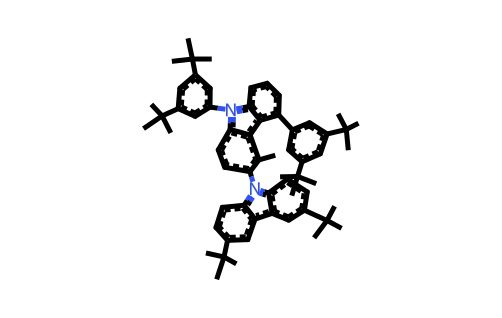 Cc1c(-n2c3ccc(C(C)(C)C)cc3c3cc(C(C)(C)C)ccc32)ccc2c1c1c(-c3cc(C(C)(C)C)cc(C(C)(C)C)c3)cccc1n2-c1cc(C(C)(C)C)cc(C(C)(C)C)c1